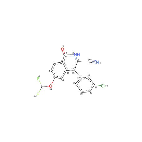 N#Cc1[nH]c(=O)c2ccc(OC(F)F)cc2c1-c1cccc(Cl)c1